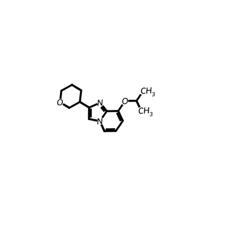 CC(C)Oc1cccn2cc(C3CCCOC3)nc12